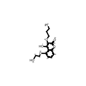 CC(C)CCCOc1c(O)c2c(OCCO)cccc2oc1=O